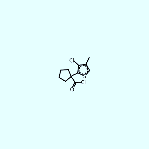 Cc1csc(C2(C(=O)Cl)CCCC2)c1Cl